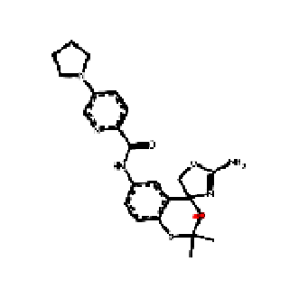 CC1(C)Oc2ccc(NC(=O)c3ccc(N4CCCC4)cn3)cc2C2(COC(N)=N2)C12COC2